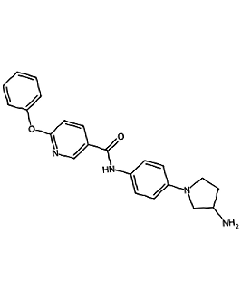 NC1CCN(c2ccc(NC(=O)c3ccc(Oc4ccccc4)nc3)cc2)C1